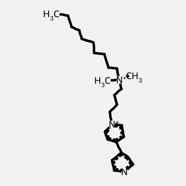 CCCCCCCCCC[N+](C)(C)CCCC[n+]1ccc(-c2ccncc2)cc1